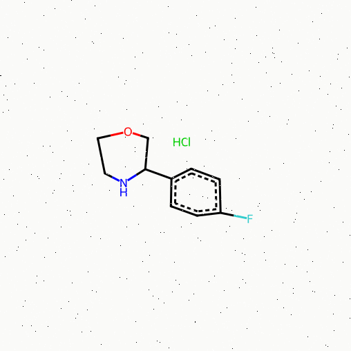 Cl.Fc1ccc(C2COCCN2)cc1